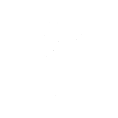 C[C@H]1Cc2ccc(C(=O)O)cc2Oc2ccc(OCc3c(-c4c(Cl)cccc4Cl)noc3C3CC3)nc21